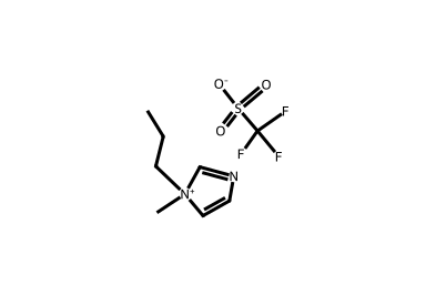 CCC[N+]1(C)C=CN=C1.O=S(=O)([O-])C(F)(F)F